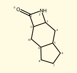 O=C1NC2CC3CCCC3CC12